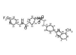 Cc1cccn2cc(-c3ccc(CCS(=O)(=O)Nc4ccc(C(=O)NCc5ccc(C(F)(F)F)nc5)cc4)cc3)nc12